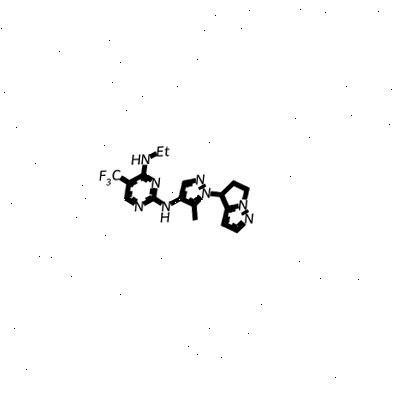 CCNc1nc(Nc2cnn(C3CCn4nccc43)c2C)ncc1C(F)(F)F